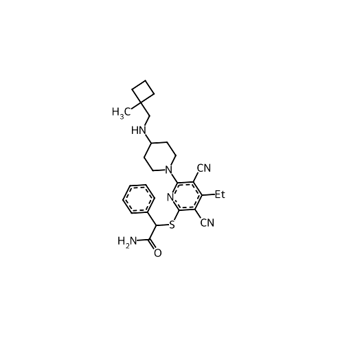 CCc1c(C#N)c(SC(C(N)=O)c2ccccc2)nc(N2CCC(NCC3(C)CCC3)CC2)c1C#N